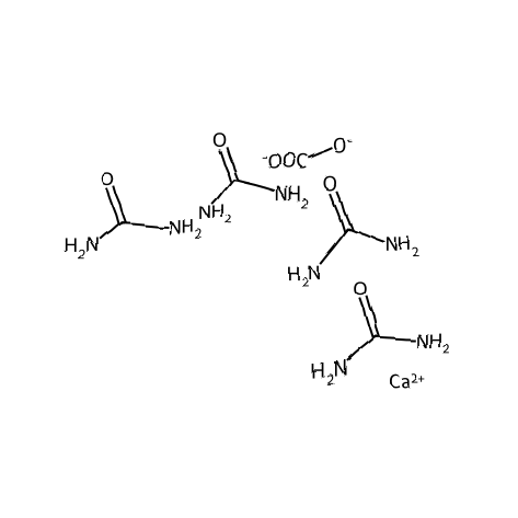 NC(N)=O.NC(N)=O.NC(N)=O.NC(N)=O.O=C([O-])[O-].[Ca+2]